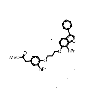 CCCc1cc(CC(=O)OC)ccc1OCCCOc1ccc2c(-c3ccccc3)coc2c1CCC